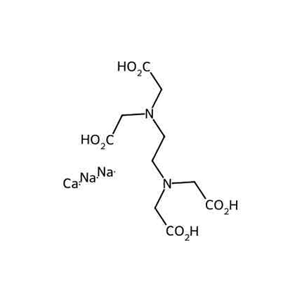 O=C(O)CN(CCN(CC(=O)O)CC(=O)O)CC(=O)O.[Ca].[Na].[Na]